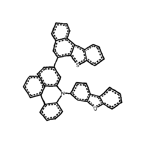 c1ccc(-c2ccccc2N(c2cccc(-c3cc4ccccc4c4c3sc3ccccc34)c2)c2ccc3c(c2)oc2ccccc23)cc1